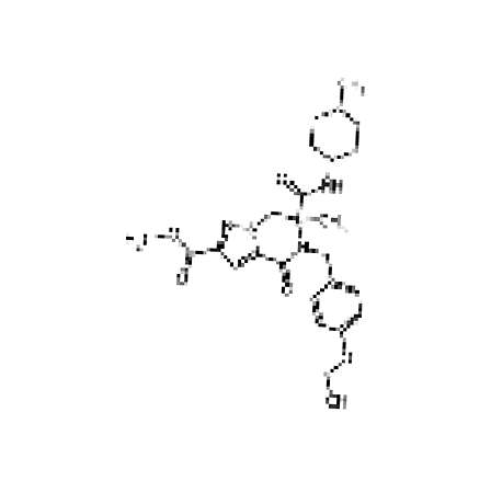 CCOc1ccc(CN2C(=O)c3cc(C(=O)OC)nn3CC2(C)C(=O)NC2CCC(C)CC2)cc1